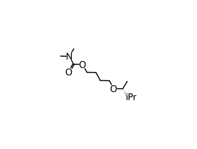 CC(C)[C@@H](C)OCCCCOC(=O)N(C)C